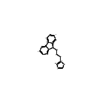 C1=CCC(CCCC2c3ccccc3-c3ccccc32)=C1